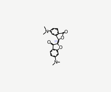 CN(C)c1ccc2c(c1)O/C(=C1\OC(=O)c3ccc(N(C)C)cc31)C2=O